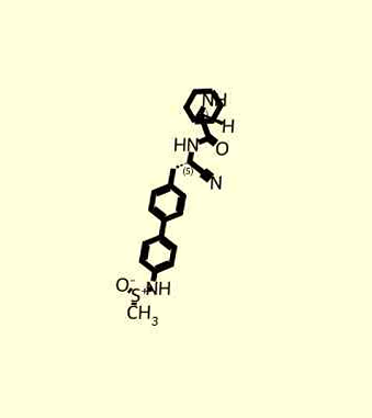 C[S+]([O-])Nc1ccc(-c2ccc(C[C@@H](C#N)NC(=O)[C@H]3NC4CCC3CC4)cc2)cc1